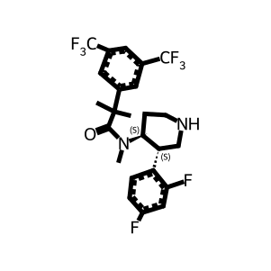 CN(C(=O)C(C)(C)c1cc(C(F)(F)F)cc(C(F)(F)F)c1)[C@H]1CCNC[C@@H]1c1ccc(F)cc1F